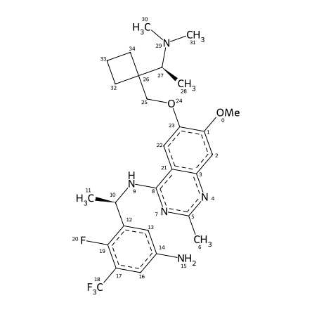 COc1cc2nc(C)nc(N[C@H](C)c3cc(N)cc(C(F)(F)F)c3F)c2cc1OCC1([C@H](C)N(C)C)CCC1